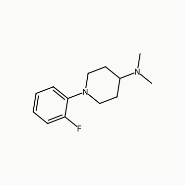 CN(C)C1CCN(c2ccccc2F)CC1